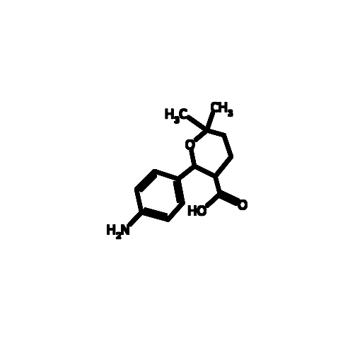 CC1(C)CCC(C(=O)O)C(c2ccc(N)cc2)O1